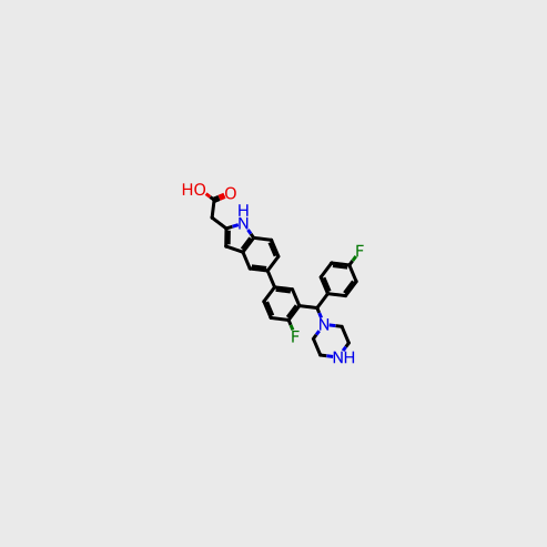 O=C(O)Cc1cc2cc(-c3ccc(F)c(C(c4ccc(F)cc4)N4CCNCC4)c3)ccc2[nH]1